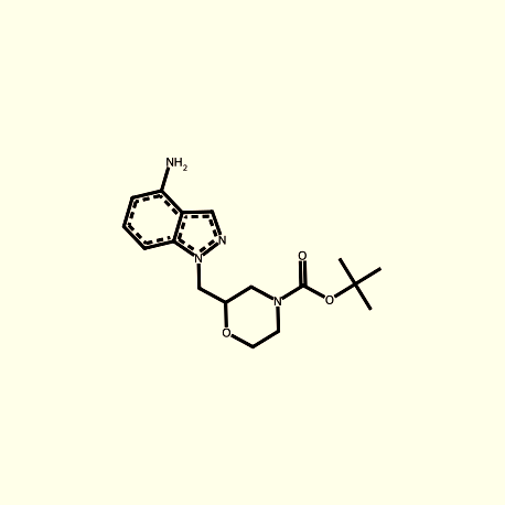 CC(C)(C)OC(=O)N1CCOC(Cn2ncc3c(N)cccc32)C1